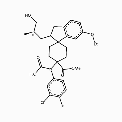 CCOc1ccc2c(c1)C1(CCC(C(=O)OC)(N(C(=O)C(F)(F)F)c3ccc(F)c(Cl)c3)CC1)C(C[C@@H](C)CO)C2